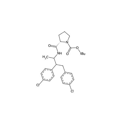 CC(NC(=O)[C@@H]1CCCN1C(=O)OC(C)(C)C)C(Cc1ccc(Cl)cc1)c1ccc(Cl)cc1